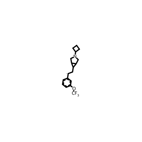 FC(F)(F)Oc1cccc([CH]CC2C3CN(C4CCC4)CC23)c1